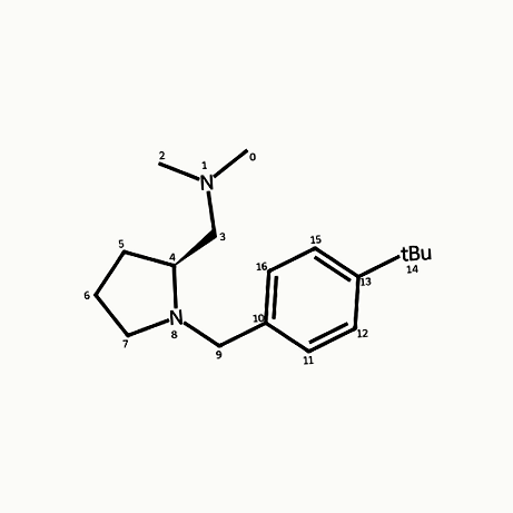 CN(C)C[C@@H]1CCCN1Cc1ccc(C(C)(C)C)cc1